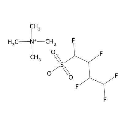 C[N+](C)(C)C.O=S(=O)([O-])C(F)C(F)C(F)C(F)F